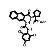 COC(=O)C1(NC(=O)c2cc3ccccc3cc2NC(=O)Nc2c(Cl)cc(Cl)cc2Cl)CCCC1